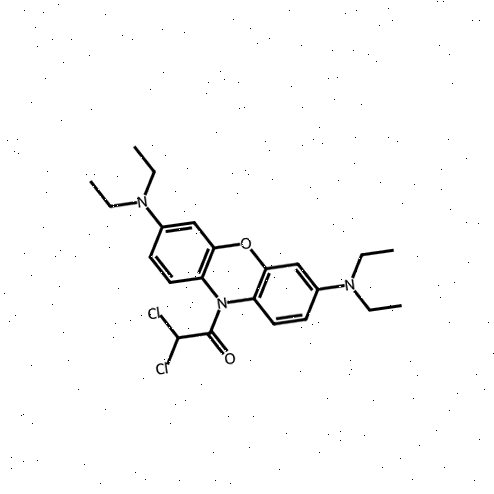 CCN(CC)c1ccc2c(c1)Oc1cc(N(CC)CC)ccc1N2C(=O)C(Cl)Cl